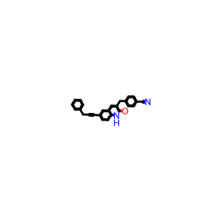 N#Cc1ccc(Cc2cc3cc(C#CCc4ccccc4)ccc3[nH]c2=O)cc1